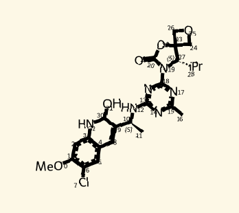 COc1cc2c(cc1Cl)C=C([C@H](C)Nc1nc(C)nc(N3C(=O)OC4(COC4)[C@@H]3C(C)C)n1)C(O)N2